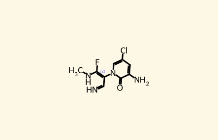 CN/C(F)=C(\C=N)n1cc(Cl)cc(N)c1=O